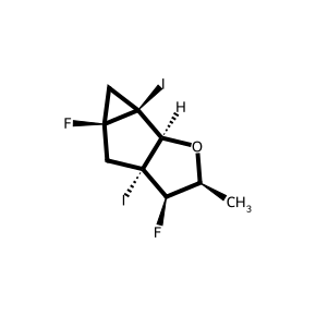 C[C@@H]1O[C@H]2[C@](I)(C[C@]3(F)C[C@]23I)[C@@H]1F